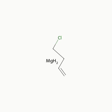 C=CCCCl.[MgH2]